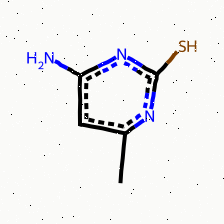 Cc1cc(N)nc(S)n1